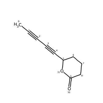 CC#CC#CC1CCCC(=O)O1